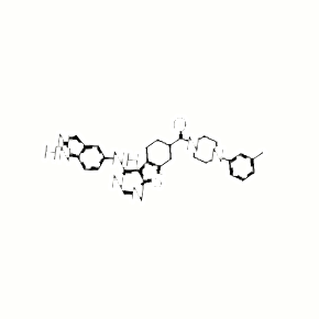 Cc1cccc(N2CCN(C(=O)C3CCc4c(sc5ncnc(Nc6ccc7[nH]ncc7c6)c45)C3)CC2)c1